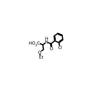 CCOCC(NC(=O)c1ccccc1Cl)C(=O)O